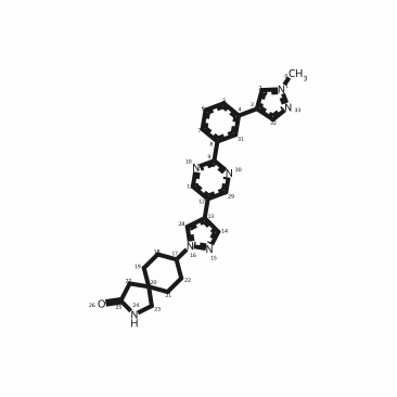 Cn1cc(-c2cccc(-c3ncc(-c4cnn(C5CCC6(CC5)CNC(=O)C6)c4)cn3)c2)cn1